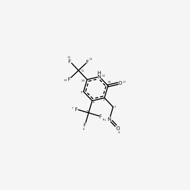 O=NCc1c(C(F)(F)F)cc(C(F)(F)F)[nH]c1=O